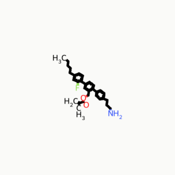 C=C(C)C(=O)OCc1cc(-c2ccc(CCCCC)cc2F)ccc1-c1ccc(CCCN)cc1